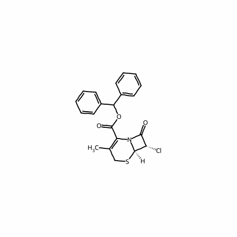 CC1=C(C(=O)OC(c2ccccc2)c2ccccc2)N2C(=O)[C@H](Cl)[C@H]2SC1